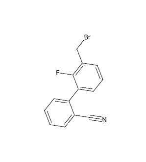 N#Cc1ccccc1-c1cccc(CBr)c1F